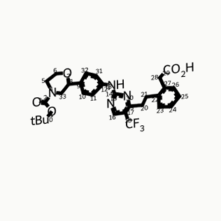 CC(C)(C)OC(=O)N1CCOC(c2ccc(Nc3ncc(C(F)(F)F)c(CCc4ccccc4CC(=O)O)n3)cc2)C1